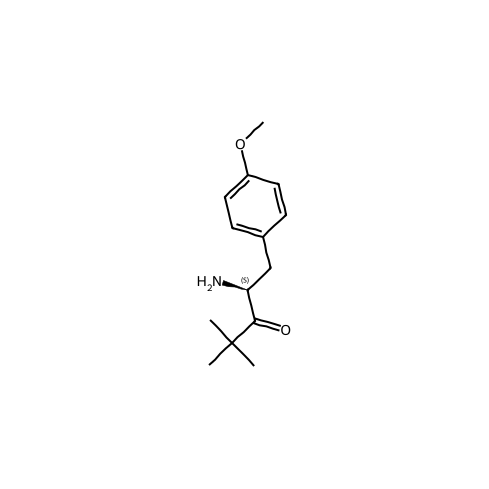 COc1ccc(C[C@H](N)C(=O)C(C)(C)C)cc1